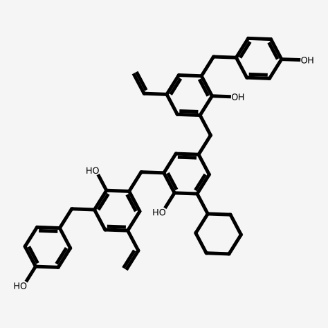 C=Cc1cc(Cc2ccc(O)cc2)c(O)c(Cc2cc(Cc3cc(C=C)cc(Cc4ccc(O)cc4)c3O)c(O)c(C3CCCCC3)c2)c1